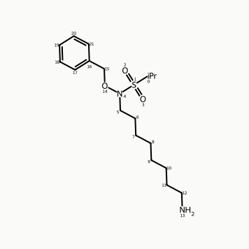 CC(C)S(=O)(=O)N(CCCCCCCCN)OCc1ccccc1